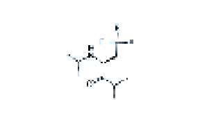 CC(C)N[C@@H](CC(F)(F)F)C(=O)C(C)C